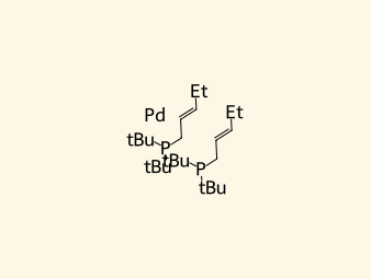 CCC=CCP(C(C)(C)C)C(C)(C)C.CCC=CCP(C(C)(C)C)C(C)(C)C.[Pd]